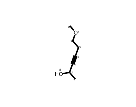 COCCC#CC(C)O